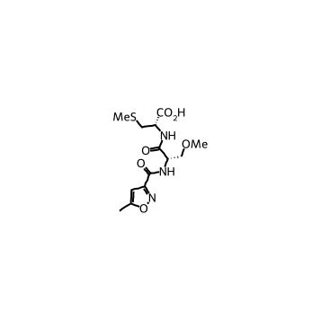 COC[C@H](NC(=O)c1cc(C)on1)C(=O)N[C@H](CSC)C(=O)O